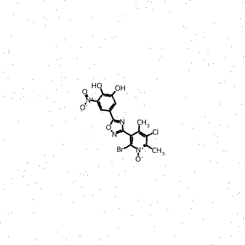 Cc1c(Cl)c(C)[n+]([O-])c(Br)c1-c1noc(-c2cc(O)c(O)c([N+](=O)[O-])c2)n1